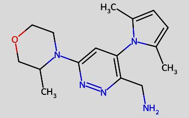 Cc1ccc(C)n1-c1cc(N2CCOCC2C)nnc1CN